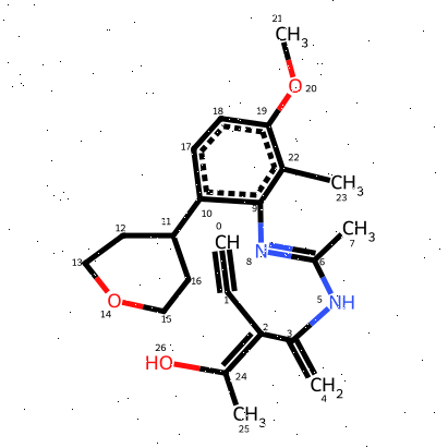 C#C/C(C(=C)N/C(C)=N/c1c(C2CCOCC2)ccc(OC)c1C)=C(/C)O